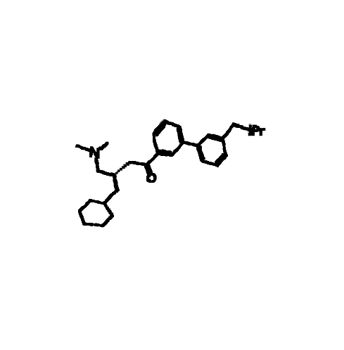 CC(C)Cc1cccc(-c2cccc(C(=O)C[C@H](CC3CCCCC3)CN(C)C)c2)c1